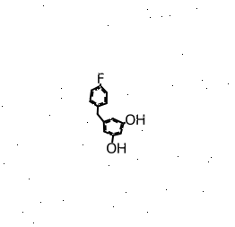 Oc1cc(O)cc(Cc2ccc(F)cc2)c1